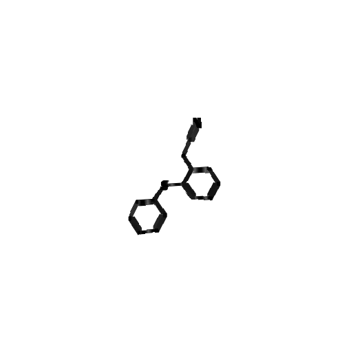 N#CCc1ccccc1Sc1ccccc1